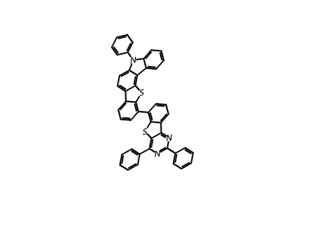 c1ccc(-c2nc(-c3ccccc3)c3sc4c(-c5cccc6c5sc5c6ccc6c5c5ccccc5n6-c5ccccc5)cccc4c3n2)cc1